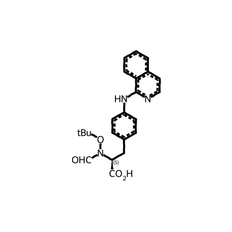 CC(C)(C)ON(C=O)[C@@H](Cc1ccc(Nc2nccc3ccccc23)cc1)C(=O)O